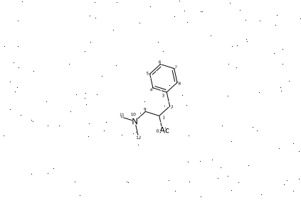 CC(=O)C(Cc1ccccc1)CN(C)C